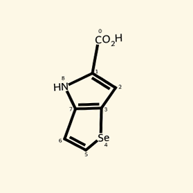 O=C(O)c1cc2[se]ccc2[nH]1